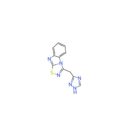 c1ccc2c(c1)nc1snc(Cc3nc[nH]n3)n12